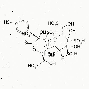 O=S(=O)(O)C(O)[C@H]1O[C@@H](Sc2cccc(S)c2)[C@@](O)(S(=O)(=O)O)[C@](O)(S(=O)(=O)O)[C@@]1(O)[C@@H]1O[C@H](C(O)S(=O)(=O)O)[C@](O)(S(=O)(=O)O)[C@@](O)(S(=O)(=O)O)[C@]1(O)S(=O)(=O)O